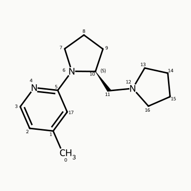 Cc1ccnc(N2CCC[C@H]2CN2CCCC2)c1